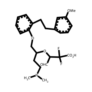 COc1cccc(CCc2ccccc2OCC(CCN(C)C)OC(C=O)C(F)(F)C(=O)O)c1